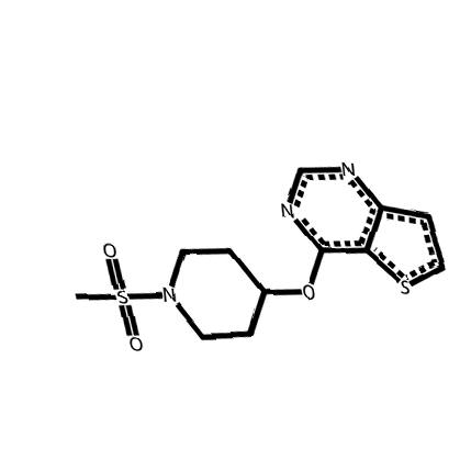 CS(=O)(=O)N1CCC(Oc2ncnc3ccsc23)CC1